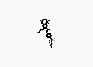 CCCCc1cc2c(cc1C(C)=Cc1ccc(C(=O)OCCC)cc1)C(C)(C)CCC2(C)C